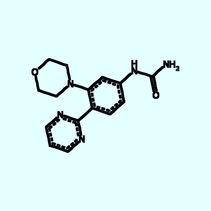 NC(=O)Nc1ccc(-c2ncccn2)c(N2CCOCC2)c1